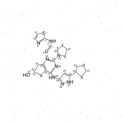 O=C(Nc1nccs1)[C@@H]1CCCN1c1nc2c(c(Nc3cc(C4CCCC4)[nH]n3)n1)C[C@H](O)C2